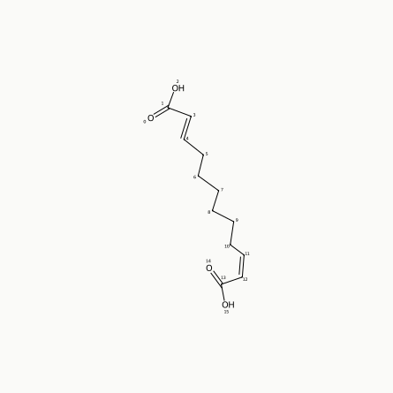 O=C(O)C=CCCCCCC/C=C\C(=O)O